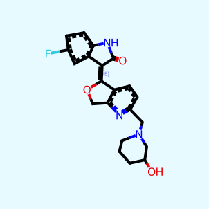 O=C1Nc2ccc(F)cc2/C1=C1\OCc2nc(CN3CCCC(O)C3)ccc21